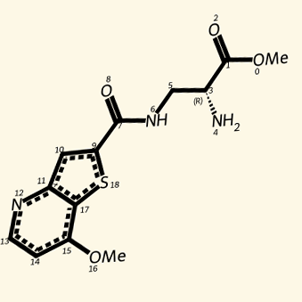 COC(=O)[C@H](N)CNC(=O)c1cc2nccc(OC)c2s1